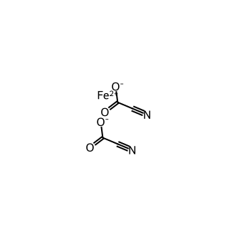 N#CC(=O)[O-].N#CC(=O)[O-].[Fe+2]